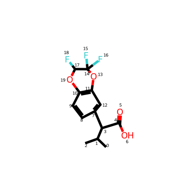 CC(C)C(C(=O)O)c1ccc2c(c1)OC(F)(F)C(F)O2